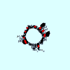 CCCC[C@H]1C(=O)N[C@@H](CC(N)=O)C(=O)N2CCC[C@H]2C(=O)N[C@@H](CO)C(=O)N[C@@H](CCO)C(=O)N2CCC[C@H]2C(=O)N[C@@H](Cc2c[nH]c3ccccc23)C(=O)N[C@@H](CO)C(=O)N[C@@H](Cc2c[nH]c3ccccc23)C(=O)N(C)[C@@H](C)C(=O)N(C)[C@@H](C)C(=O)N[C@@H](CCCCN)C(=O)NC(C(=O)NCC(N)=O)CSCC(=O)N[C@@H](Cc2ccc(O)cc2)C(=O)N1C